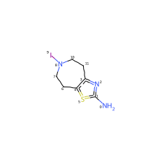 Nc1nc2c(s1)CCN(I)CC2